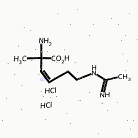 CC(=N)NCC/C=C\C(C)(N)C(=O)O.Cl.Cl